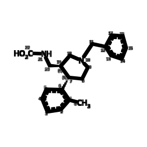 Cc1ccccc1[C@H]1CCN(Cc2ccccc2)C[C@@H]1CNC(=O)O